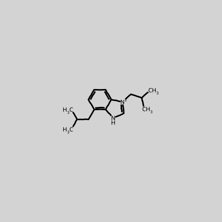 CC(C)Cc1cccc2c1[nH]c[n+]2CC(C)C